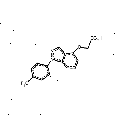 O=C(O)COc1cccc2c1cnn2-c1ccc(C(F)(F)F)cc1